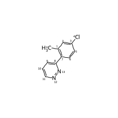 Cc1cc(Cl)ccc1-c1cccnn1